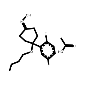 CC(=O)O.CCCCOC1(c2cc(F)ccc2F)CCC(=NO)CC1